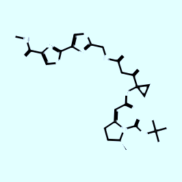 CNC(=O)c1csc(-c2csc(CNC(=O)CC(=O)C3(NC(=O)/C=C4/CC[C@H](C)N4C(=O)OC(C)(C)C)CC3)n2)n1